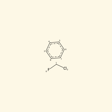 FCCl.c1ccccc1